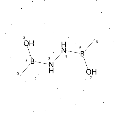 CB(O)NNB(C)O